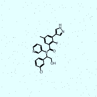 Cc1cc(C(=O)N(c2cccnc2)C(CO)c2cccc(Cl)c2)c(F)c(-c2cn[nH]c2)c1